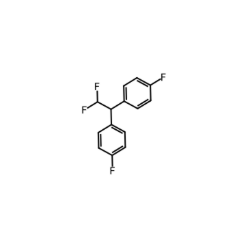 Fc1ccc(C(c2ccc(F)cc2)C(F)F)cc1